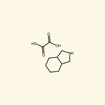 C1CCC2CNCC2C1.O=C(O)C(=O)O